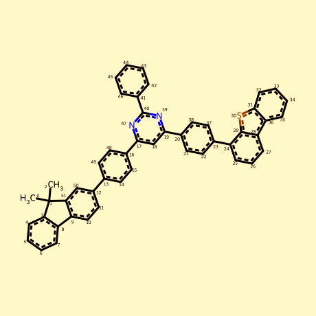 CC1(C)c2ccccc2-c2ccc(-c3ccc(-c4cc(-c5ccc(-c6cccc7c6sc6ccccc67)cc5)nc(-c5ccccc5)n4)cc3)cc21